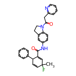 CC1(F)C=CC(c2ccccc2)C(C(=O)Nc2ccc3c(c2)CCN3C(=O)Cc2ccccn2)=C1